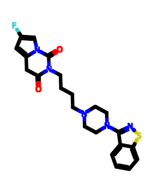 O=C1Cc2cc(F)cn2C(=O)N1CCCCN1CCN(c2nsc3ccccc23)CC1